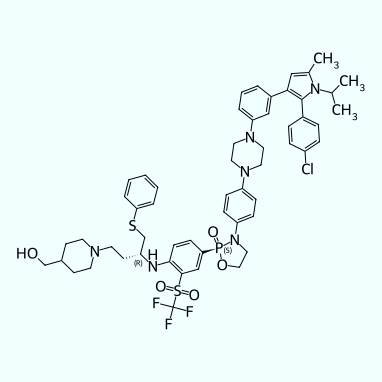 Cc1cc(-c2cccc(N3CCN(c4ccc(N5CCO[P@@]5(=O)c5ccc(N[C@H](CCN6CCC(CO)CC6)CSc6ccccc6)c(S(=O)(=O)C(F)(F)F)c5)cc4)CC3)c2)c(-c2ccc(Cl)cc2)n1C(C)C